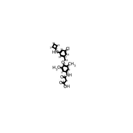 Cc1cc(NC(=O)CC(=O)O)cc(C)c1OCc1cc(Cl)cc(NC2CCC2)c1